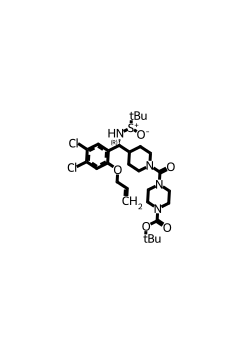 C=CCOc1cc(Cl)c(Cl)cc1[C@H](N[S+]([O-])C(C)(C)C)C1CCN(C(=O)N2CCN(C(=O)OC(C)(C)C)CC2)CC1